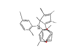 CC1=C(C)C(C)([SiH](c2cc(C)ccc2C)c2cc(C)ccc2C)C(c2ccccc2)=C1C